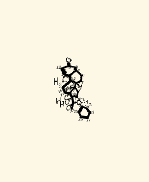 C[C@H]1C[C@H]2[C@@H]3CCC4=CC(=O)C=C[C@]4(C)C3=CC[C@]2(C)[C@@]1(O)[C@]1(Oc2ccccc2)CO1